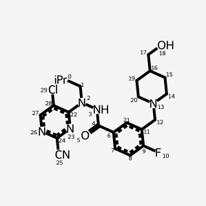 CC(C)CN(NC(=O)c1ccc(F)c(CN2CCC(CO)CC2)c1)c1nc(C#N)ncc1Cl